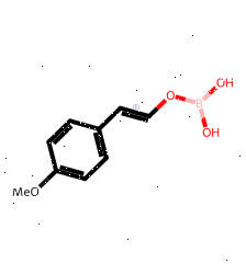 COc1ccc(/C=C/OB(O)O)cc1